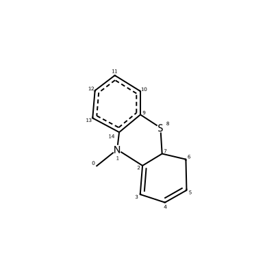 CN1C2=CC=CCC2Sc2ccccc21